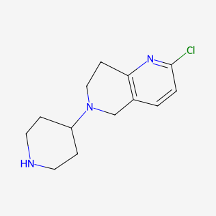 Clc1ccc2c(n1)CCN(C1CCNCC1)C2